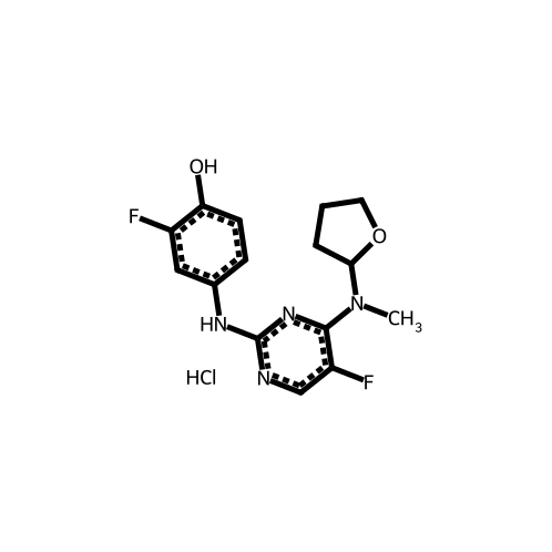 CN(c1nc(Nc2ccc(O)c(F)c2)ncc1F)C1CCCO1.Cl